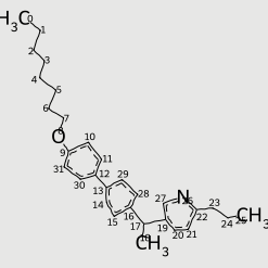 CCCCCCCCOc1ccc(-c2ccc(C(C)c3ccc(CCC)nc3)cc2)cc1